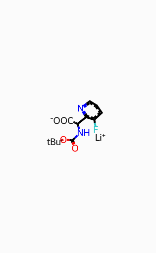 CC(C)(C)OC(=O)NC(C(=O)[O-])c1ncccc1F.[Li+]